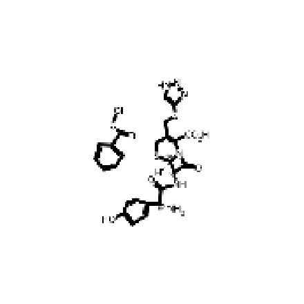 N[C@@H](C(=O)N[C@@H]1C(=O)N2C(C(=O)O)=C(CSc3c[nH]nn3)CS[C@H]12)c1ccc(O)cc1.O=C(OO)c1ccccc1